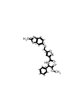 COC(=O)C(NC(=O)c1cc(COc2ccc3nc(C)sc3c2)on1)c1ccccc1